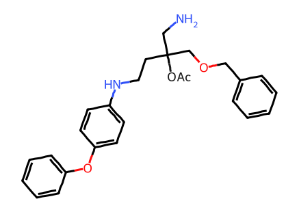 CC(=O)OC(CN)(CCNc1ccc(Oc2ccccc2)cc1)COCc1ccccc1